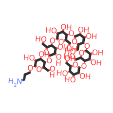 NCCCO[C@H]1OC(CO)[C@@H](O[C@@H]2OC(CO)[C@@H](O[C@H]3OC(CO)[C@H](O[C@H]4OC(CO)[C@@H](O[C@@H]5OC(CO)[C@@H](O[C@H]6OC(CO)[C@H](O)C(O)C6O)C(O)C5O)C(O)C4O)C(O)C3O)C(O)C2O)[C@H](O)C1O